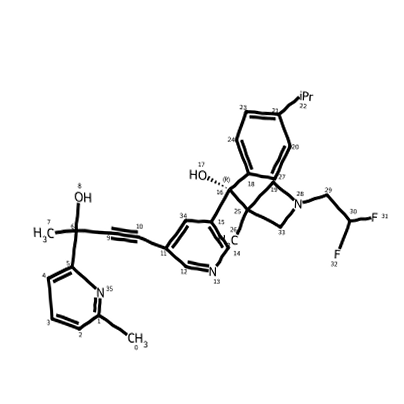 Cc1cccc(C(C)(O)C#Cc2cncc([C@@](O)(c3ccc(C(C)C)cc3)C3(C)CN(CC(F)F)C3)c2)n1